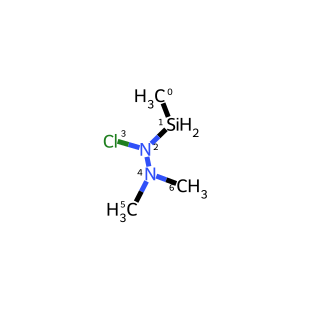 C[SiH2]N(Cl)N(C)C